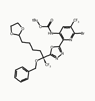 CC(C)(C)OC(=O)Nc1cc(C(F)(F)F)c(Br)nc1-c1nnc([C@@](CCCCC2OCCO2)(OCc2ccccc2)C(F)(F)F)o1